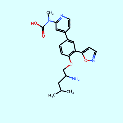 CC(C)CC(N)COc1ccc(-c2ccnc(N(C)C(=O)O)c2)cc1-c1ccno1